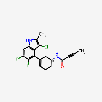 CC#CC(=O)N[C@@H]1CCC=C(c2c(F)c(F)cc3[nH]c(C)c(Cl)c23)C1